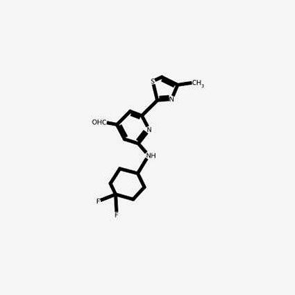 Cc1csc(-c2cc(C=O)cc(NC3CCC(F)(F)CC3)n2)n1